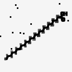 CCCCCC=CCCCCCCCCCCCCCCCCCC(=O)O